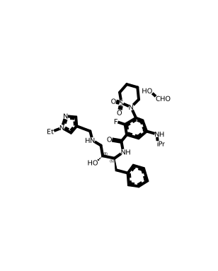 CCn1cc(CNC[C@@H](O)[C@H](Cc2ccccc2)NC(=O)c2cc(NC(C)C)cc(N3CCCCS3(=O)=O)c2F)cn1.O=CO